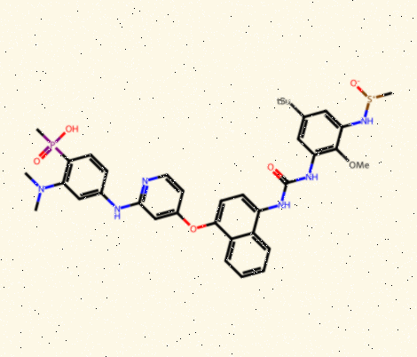 COc1c(NC(=O)Nc2ccc(Oc3ccnc(Nc4ccc(P(C)(=O)O)c(N(C)C)c4)c3)c3ccccc23)cc(C(C)(C)C)cc1N[S+](C)[O-]